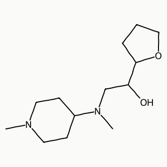 CN1CCC(N(C)CC(O)C2CCCO2)CC1